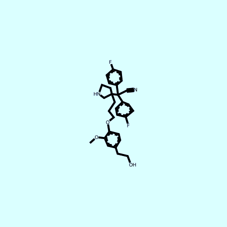 COc1cc(CCO)ccc1OCCCC1(C(C#N)(c2ccc(F)cc2)c2ccc(F)cc2)CCNC1